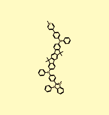 C[n+]1ccc(-c2ccc(N(c3ccccc3)c3ccc4c(c3)C(C)(C)c3cc5c(cc3-4)C(C)(C)c3cc(N(c4ccccc4)c4ccc(-c6n(-c7ccccc7)c7ccccc7[n+]6C)cc4)ccc3-5)cc2)cc1